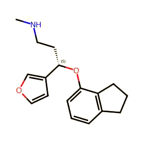 CNCC[C@H](Oc1cccc2c1CCC2)c1ccoc1